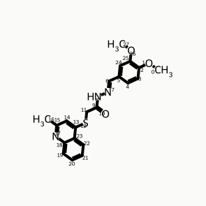 COc1ccc(C=NNC(=O)CSc2cc(C)nc3ccccc23)cc1OC